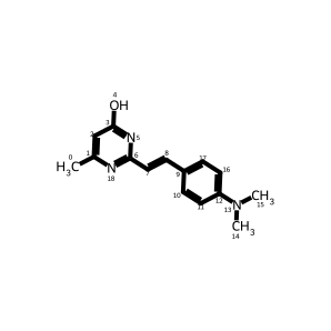 Cc1cc(O)nc(/C=C/c2ccc(N(C)C)cc2)n1